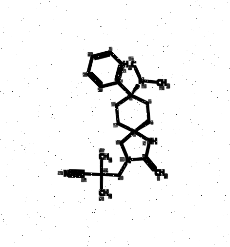 C=C1N[C@]2(CC[C@@](c3ccccc3)(N(C)C)CC2)CN1CC(C)(C)C#N